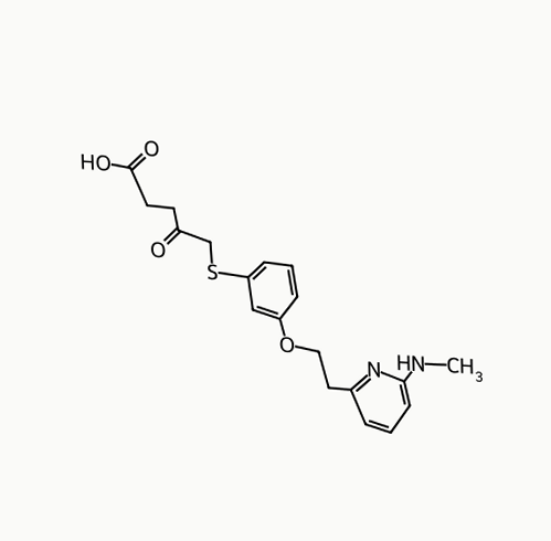 CNc1cccc(CCOc2cccc(SCC(=O)CCC(=O)O)c2)n1